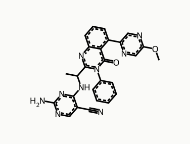 COc1cnc(-c2cccc3nc(C(C)Nc4nc(N)ncc4C#N)n(-c4ccccc4)c(=O)c23)cn1